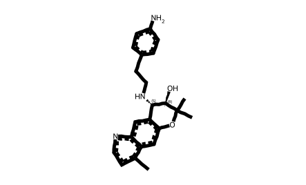 Cc1ccnc2cc3c(cc12)OC(C)(C)[C@H](O)[C@H]3NCCc1ccc(N)cc1